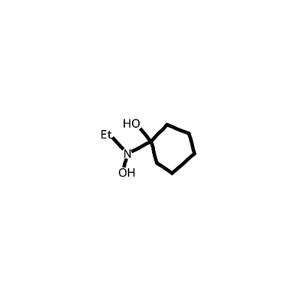 CCN(O)C1(O)CCCCC1